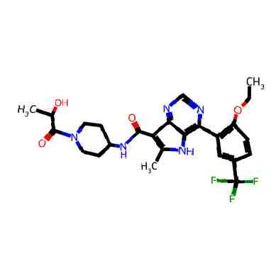 CCOc1ccc(C(F)(F)F)cc1-c1ncnc2c(C(=O)NC3CCN(C(=O)C(C)O)CC3)c(C)[nH]c12